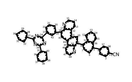 N#Cc1ccc(-c2ccc(-c3cc4c5cccnc5c(-c5cccc(-c6nc(-c7ccccc7)nc(-c7ccccc7)n6)c5)cc4c4cccnc34)c3ccccc23)cc1